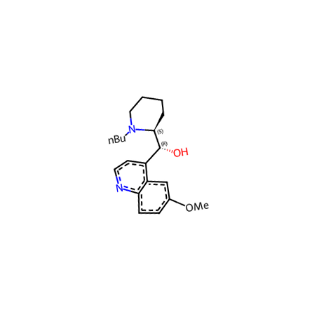 CCCCN1CCCC[C@H]1[C@H](O)c1ccnc2ccc(OC)cc12